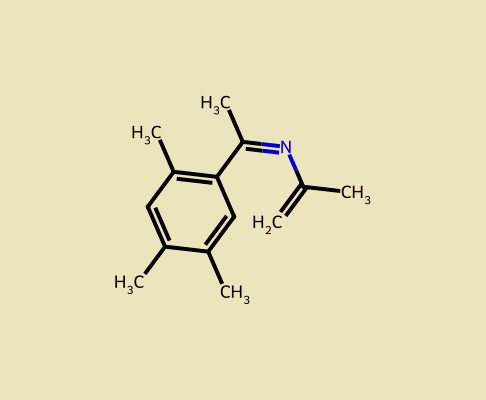 C=C(C)/N=C(/C)c1cc(C)c(C)cc1C